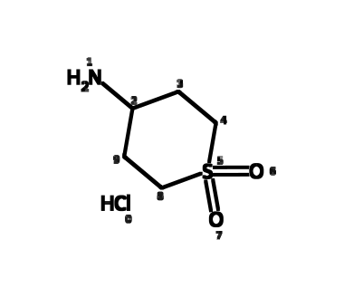 Cl.NC1CCS(=O)(=O)CC1